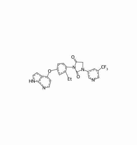 CCc1cc(Oc2ccnc3[nH]ccc23)ccc1N1C(=O)CN(c2cncc(C(F)(F)F)c2)C1=O